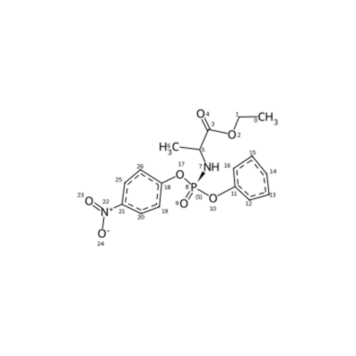 CCOC(=O)C(C)N[P@](=O)(Oc1ccccc1)Oc1ccc([N+](=O)[O-])cc1